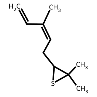 C=CC(C)=CCC1SC1(C)C